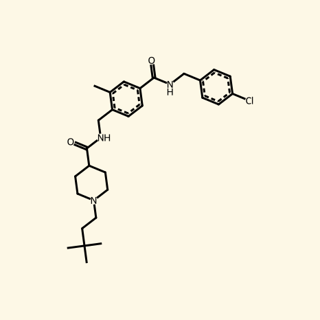 Cc1cc(C(=O)NCc2ccc(Cl)cc2)ccc1CNC(=O)C1CCN(CCC(C)(C)C)CC1